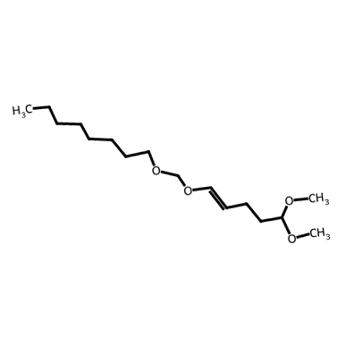 CCCCCCCCOCOC=CCCC(OC)OC